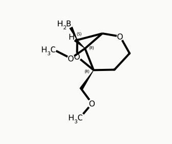 B[C@@H]1O[C@@]2(COC)CCOC1[C@H]2OC